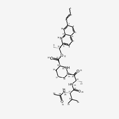 C/C=C/c1ccc2ccc([C@@H](C)OC(=O)[C@@H]3CCCN(C(=O)[C@H](C)NC(=O)[C@@H](NC(C)=O)C(C)C)N3)nc2c1